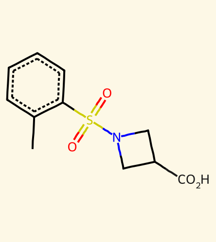 Cc1ccccc1S(=O)(=O)N1CC(C(=O)O)C1